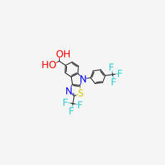 OC(O)c1ccc2c(c1)c1nc(C(F)(F)F)sc1n2-c1ccc(C(F)(F)F)cc1